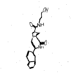 O=C(NCCCO)c1cc2c(=O)[nH]c(-c3ccc4ccccc4c3)cn2c1